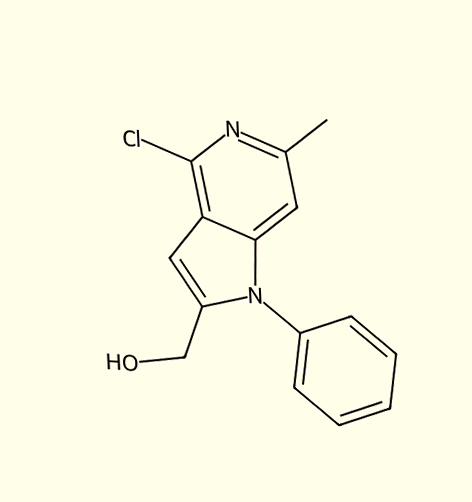 Cc1cc2c(cc(CO)n2-c2ccccc2)c(Cl)n1